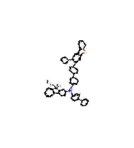 CC1(C)c2ccccc2-c2ccc(N(c3ccc(-c4ccccc4)cc3)c3ccc(-c4ccc(-c5cc6sc7ccccc7c6cc5-c5ccccc5)cc4)cc3)cc21